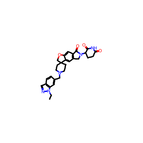 CCn1ncc2ccc(CN3CCC4(CC3)COc3cc5c(cc34)CN(C3CCC(=O)NC3=O)C5=O)cc21